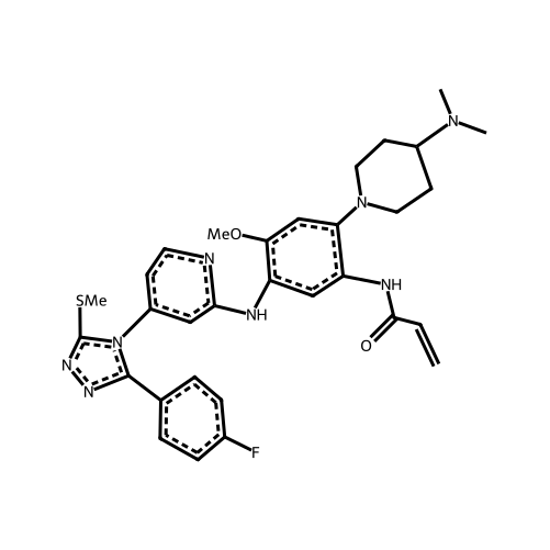 C=CC(=O)Nc1cc(Nc2cc(-n3c(SC)nnc3-c3ccc(F)cc3)ccn2)c(OC)cc1N1CCC(N(C)C)CC1